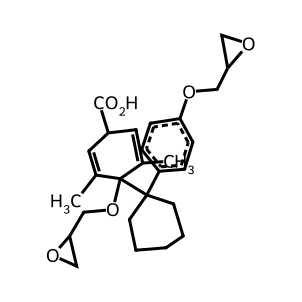 CC1=CC(C(=O)O)C=C(C)C1(OCC1CO1)C1(c2ccc(OCC3CO3)cc2)CCCCC1